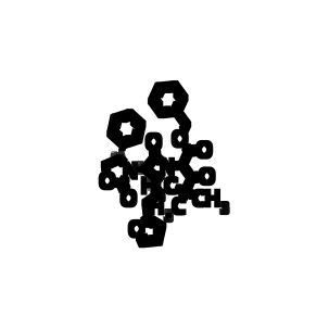 CC(C)(C)C(=O)C(C(=O)OCc1ccccc1)N1C(=O)[C@@H](N2C(=O)OC[C@@H]2c2ccccc2)[C@H]1CCc1ccco1